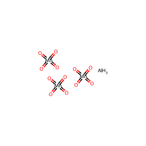 [AlH3].[O]=[Mn](=[O])(=[O])=[O].[O]=[Mn](=[O])(=[O])=[O].[O]=[Mn](=[O])(=[O])=[O]